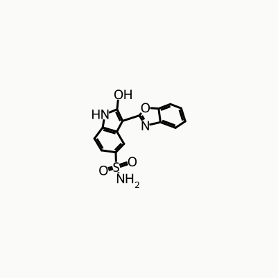 NS(=O)(=O)c1ccc2[nH]c(O)c(-c3nc4ccccc4o3)c2c1